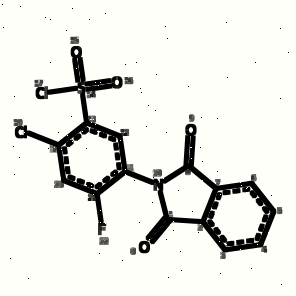 O=C1c2ccccc2C(=O)N1c1cc(S(=O)(=O)Cl)c(Cl)cc1F